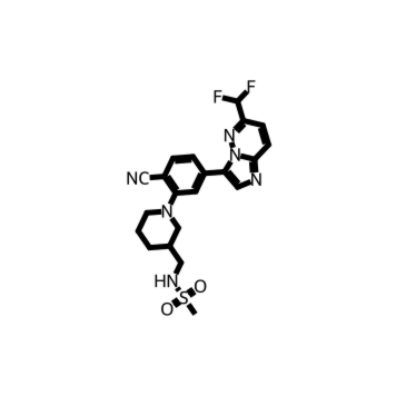 CS(=O)(=O)NCC1CCCN(c2cc(-c3cnc4ccc(C(F)F)nn34)ccc2C#N)C1